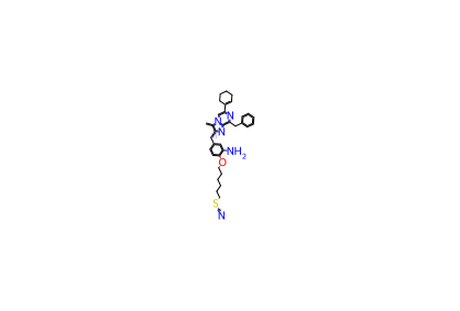 C=c1/c(=C/c2ccc(OCCCCCCSC#N)c(N)c2)nc2c(Cc3ccccc3)nc(C3=CCCCC3)cn12